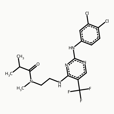 CC(C)C(=O)N(C)CCNc1nc(Nc2ccc(Cl)c(Cl)c2)ncc1C(F)(F)F